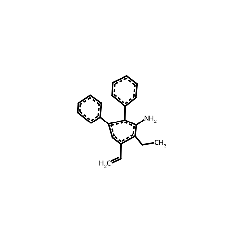 C=Cc1cc(-c2ccccc2)c(-c2ccccc2)c(N)c1CC